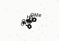 COC(=O)[C@@H](Cc1ccccc1)n1cc(C[SH](OC)c2ccccc2)nn1